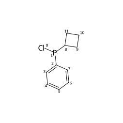 ClP(c1ccccc1)C1CCC1